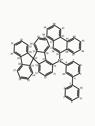 c1ccc(-c2cccc(N(c3cccc4c3-c3ccccc3C43c4ccccc4-c4ccccc43)c3cc4ccccc4c4ccccc34)c2)cc1